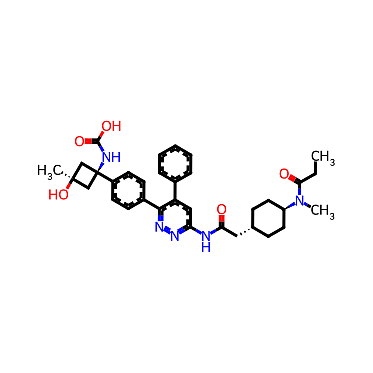 CCC(=O)N(C)[C@H]1CC[C@H](CC(=O)Nc2cc(-c3ccccc3)c(-c3ccc([C@]4(NC(=O)O)C[C@@](C)(O)C4)cc3)nn2)CC1